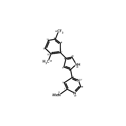 CNc1cc(-c2cc(-c3cc(C(F)(F)F)ccc3C)c[nH]2)ncn1